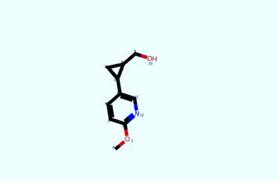 COc1ccc(C2CC2CO)cn1